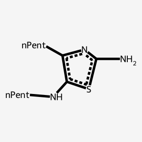 CCCCCNc1sc(N)nc1CCCCC